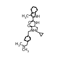 Cc1c(C(=O)N[C@@H](CCC2CC2)C(=O)NCc2ccc(CN(C)C)cc2)[nH]c2ccccc12